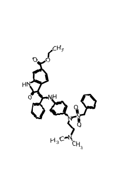 CCOC(=O)c1ccc2c(c1)NC(=O)C2=C(Nc1ccc(N(CCN(C)C)S(=O)(=O)Cc2ccccc2)cc1)c1ccccc1